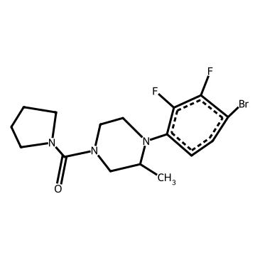 CC1CN(C(=O)N2CCCC2)CCN1c1ccc(Br)c(F)c1F